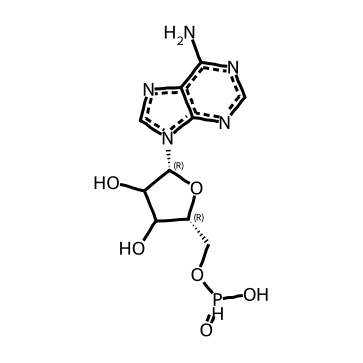 Nc1ncnc2c1ncn2[C@@H]1O[C@H](CO[PH](=O)O)C(O)C1O